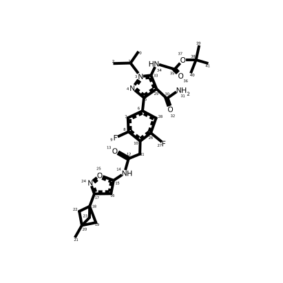 CC(C)n1nc(-c2cc(F)c(CC(=O)Nc3cc(C45CC(C)(C4)C5)no3)c(F)c2)c(C(N)=O)c1NC(=O)OC(C)(C)C